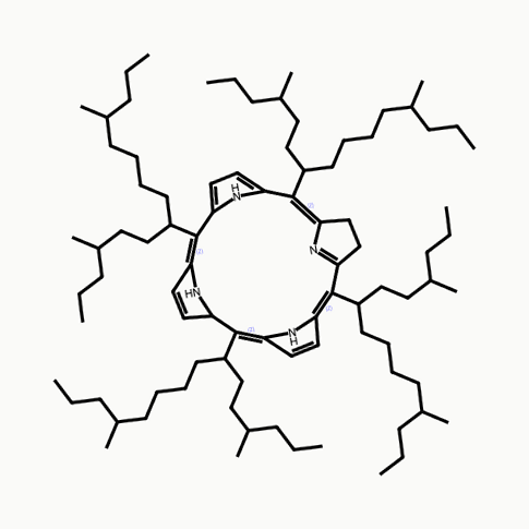 CCCC(C)CCCCC(CCC(C)CCC)/C1=C2\CCC(=N2)/C(C(CCCCC(C)CCC)CCC(C)CCC)=c2/cc/c([nH]2)=C(\C(CCCCC(C)CCC)CCC(C)CCC)C2C=C/C(=C(\C(CCCCC(C)CCC)CCC(C)CCC)c3ccc1[nH]3)N2